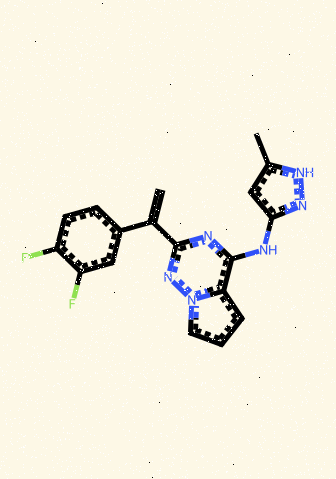 C=C(c1ccc(F)c(F)c1)c1nc(Nc2cc(C)[nH]n2)c2cccn2n1